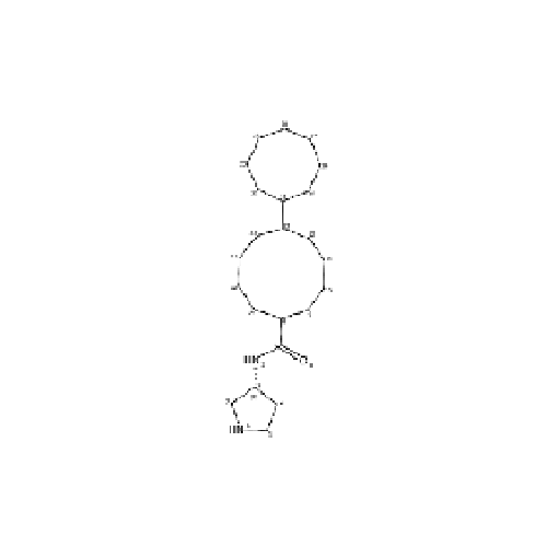 O=C(N[C@@H]1CCNC1)C1CCCCC(C2CCCCCCC2)CCCC1